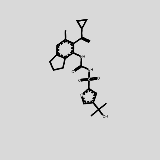 C=C(c1c(C)cc2c(c1NC(=O)NS(=O)(=O)c1cc(C(C)(C)O)co1)CCC2)C1CC1